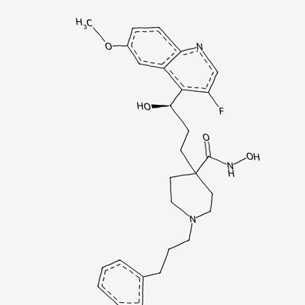 COc1ccc2ncc(F)c([C@H](O)CCC3(C(=O)NO)CCN(CCCc4ccccc4)CC3)c2c1